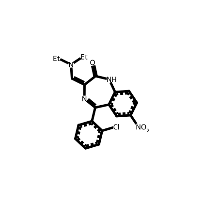 CCN(C=C1N=C(c2ccccc2Cl)c2cc([N+](=O)[O-])ccc2NC1=O)CC